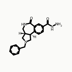 NNC(=O)c1ccc2c(c1)C(=O)NC[C@H]1CN(Cc3ccccc3)C[C@H]21